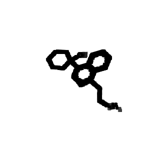 OC1(c2ccc(CC[SiH3])c3ccccc23)CCCCC1